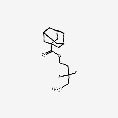 O=C(OCCC(F)(F)CS(=O)(=O)O)C12CC3CC(CC(C3)C1)C2